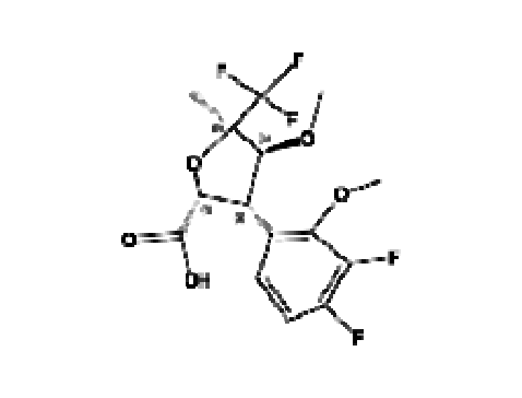 COc1c([C@@H]2[C@H](C(=O)O)O[C@@](C)(C(F)(F)F)[C@H]2OC)ccc(F)c1F